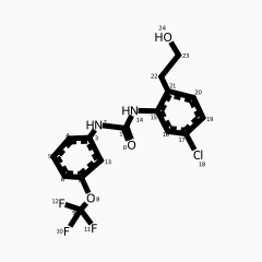 O=C(Nc1cccc(OC(F)(F)F)c1)Nc1cc(Cl)ccc1CCO